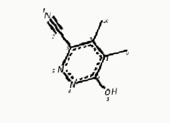 Cc1c(O)nnc(C#N)c1C